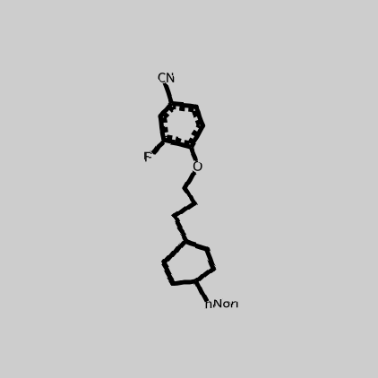 CCCCCCCCCC1CCC(CCCOc2ccc(C#N)cc2F)CC1